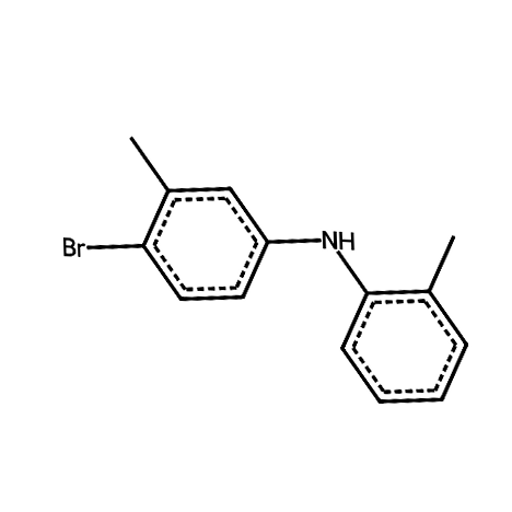 Cc1cc(Nc2ccccc2C)ccc1Br